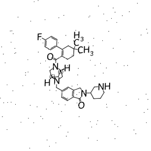 CC1(C)CCC(C(=O)N2C[C@@H]3C[C@H]2CN3Cc2ccc3c(c2)CN(C2CCCNC2)C3=O)=C(c2ccc(F)cc2)C1